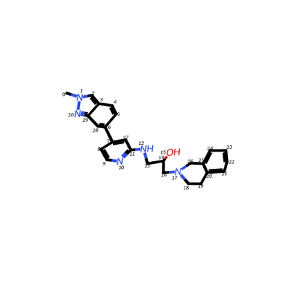 Cn1cc2ccc(-c3ccnc(NCC(O)CN4CCc5ccccc5C4)c3)cc2n1